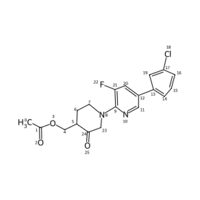 CC(=O)OCC1CCN(c2ncc(-c3cccc(Cl)c3)cc2F)CC1=O